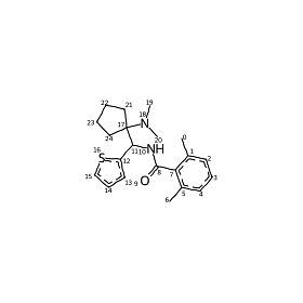 Cc1cccc(C)c1C(=O)NC(c1cccs1)C1(N(C)C)CCCC1